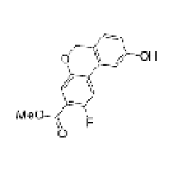 COC(=O)c1cc2c(cc1F)-c1cc(O)ccc1CO2